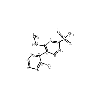 CNc1nc(S(C)(=O)=O)ncc1-c1ccccc1Cl